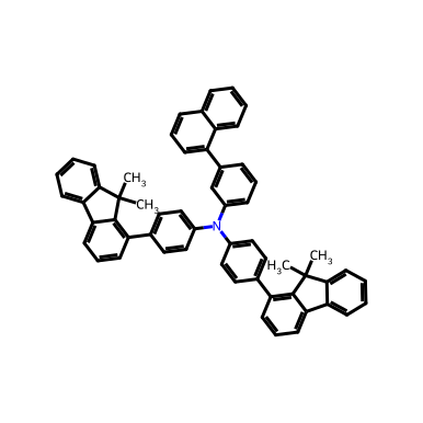 CC1(C)c2ccccc2-c2cccc(-c3ccc(N(c4ccc(-c5cccc6c5C(C)(C)c5ccccc5-6)cc4)c4cccc(-c5cccc6ccccc56)c4)cc3)c21